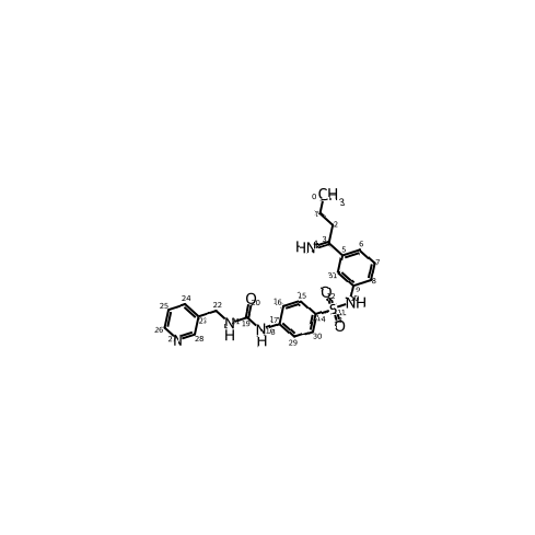 CCCC(=N)c1cccc(NS(=O)(=O)c2ccc(NC(=O)NCc3cccnc3)cc2)c1